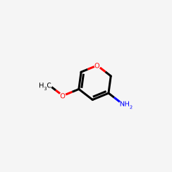 COC1=COCC(N)=C1